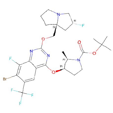 C[C@@H]1[C@H](Oc2nc(OC[C@@]34CCCN3C[C@H](F)C4)nc3c(F)c(Br)c(C(F)(F)F)cc23)CCN1C(=O)OC(C)(C)C